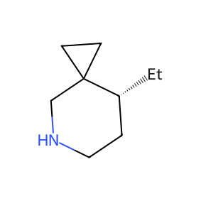 CC[C@@H]1CCNCC12CC2